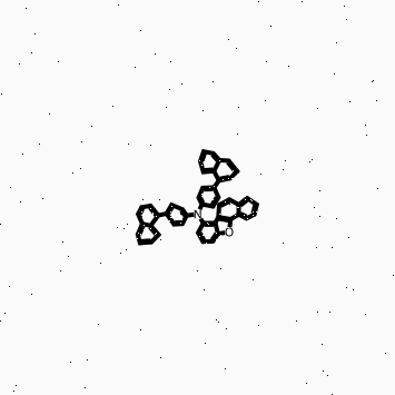 c1ccc2c(-c3ccc(N(c4ccc(-c5cccc6ccccc56)cc4)c4cccc5oc6c7ccccc7ccc6c45)cc3)cccc2c1